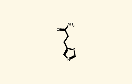 NC(=O)CCc1cncs1